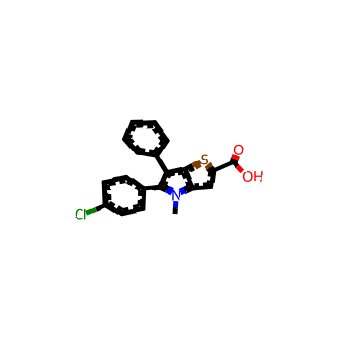 Cn1c(-c2ccc(Cl)cc2)c(-c2ccccc2)c2sc(C(=O)O)cc21